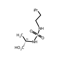 CC(C)CCNS(=O)(=O)N[C@@H](C)C(=O)O